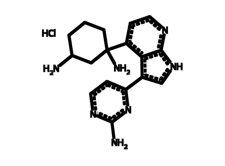 Cl.Nc1nccc(-c2c[nH]c3nccc(C4(N)CCCC(N)C4)c23)n1